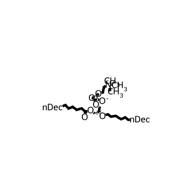 CCCCCCCCCCCCCCCCO[C@H](COC(=O)CCCCCCCCCCCCCCC)COP(=O)([O-])OCC[N+](C)(C)C